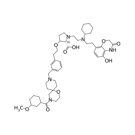 COC1CCCC(C(=O)N2CCOC3(CCN(Cc4cccc(CCOC5CCN(CCN(CCc6ccc(O)c7c6OCC(=O)N7)C6CCCCC6)[C@@H]5C(=O)O)c4)CC3)C2)C1